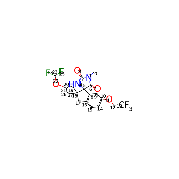 CN1C(=O)NC2(C1=O)c1cc(OCC(F)(F)F)ccc1CC21CCC(OC(F)F)CC1